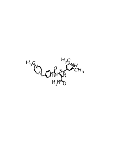 CC1=CC(c2nc(C(N)=O)c(NC(=O)c3ccc(CN4CCN(C)CC4)cc3)s2)=CC(C)N1